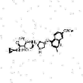 CCC[C@H](NC(=O)[C@@H]1C[C@@H](Oc2cc(C)nc3cc(OC)ccc23)CN1)C(O)C(=O)NC1CC1